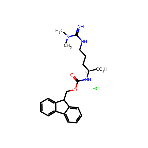 CN(C)C(=N)NCCC[C@H](NC(=O)OCC1c2ccccc2-c2ccccc21)C(=O)O.Cl